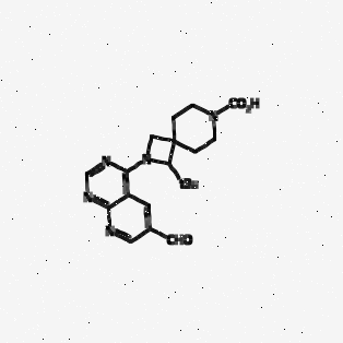 CC(C)(C)C1N(c2ncnc3ncc(C=O)cc23)CC12CCN(C(=O)O)CC2